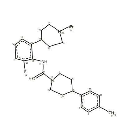 Cc1ccc(C2CCN(C(=O)Nc3c(F)cccc3C3CCN(C(C)C)CC3)CC2)cc1